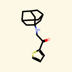 O=C(CNC12CC3CC(CC(C3)C1)C2)c1cccs1